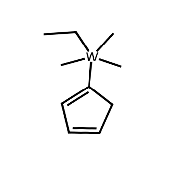 C[CH2][W]([CH3])([CH3])([CH3])[C]1=CC=CC1